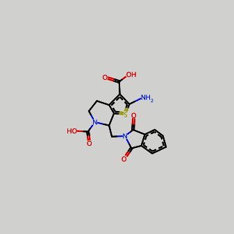 Nc1sc2c(c1C(=O)O)CCN(C(=O)O)C2CN1C(=O)c2ccccc2C1=O